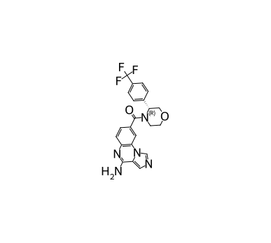 Nc1nc2ccc(C(=O)N3CCOC[C@H]3c3ccc(C(F)(F)F)cc3)cc2n2cncc12